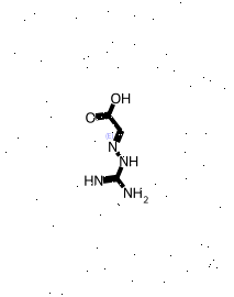 N=C(N)N/N=C/C(=O)O